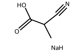 CC(C#N)C(=O)O.[NaH]